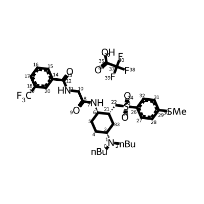 CCCCN(CCCC)[C@@H]1CC[C@H](NC(=O)CNC(=O)c2cccc(C(F)(F)F)c2)[C@H](CS(=O)(=O)c2ccc(SC)cc2)C1.O=C(O)C(F)(F)F